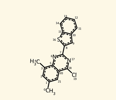 Cc1cc(C)c2nc(-c3cc4ccccc4s3)nc(Cl)c2c1